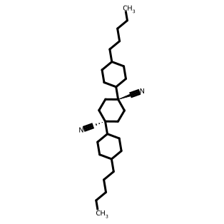 CCCCCC1CCC([C@]2(C#N)CC[C@@](C#N)(C3CCC(CCCCC)CC3)CC2)CC1